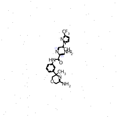 C=C(/C=N\C(=C/N)C(=O)Nc1cccc(C2(C)COCC(N)=N2)c1)n1ccc(C(F)(F)F)n1